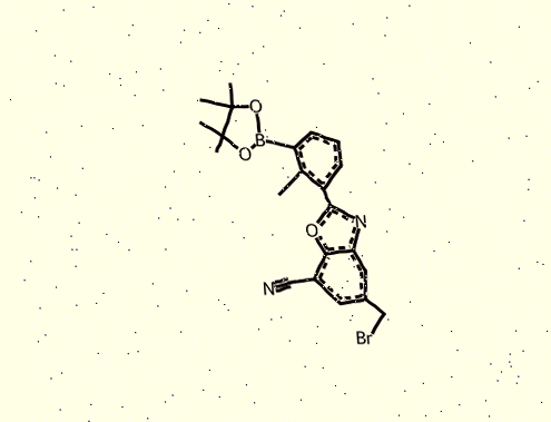 Cc1c(B2OC(C)(C)C(C)(C)O2)cccc1-c1nc2cc(CBr)cc(C#N)c2o1